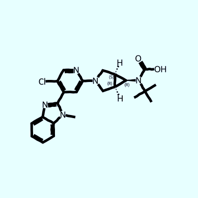 Cn1c(-c2cc(N3C[C@@H]4[C@H](C3)[C@@H]4N(C(=O)O)C(C)(C)C)ncc2Cl)nc2ccccc21